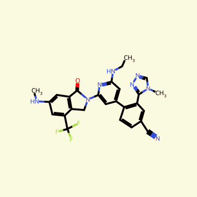 CCNc1cc(-c2ccc(C#N)cc2-c2nncn2C)cc(N2Cc3c(cc(NC)cc3C(F)(F)F)C2=O)n1